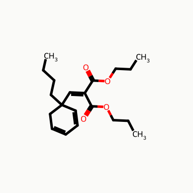 CCCCC1(C=C(C(=O)OCCC)C(=O)OCCC)C=CC=CC1